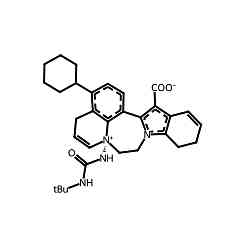 CC(C)(C)NC(=O)N[N@+]12C=CCc3c(C4CCCCC4)ccc(c31)-c1c(C(=O)[O-])c3c(n1CC2)CCC=C3